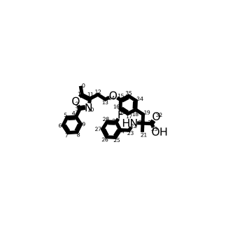 Cc1oc(-c2ccccc2)nc1CCOc1ccc(CC(C)(NCc2ccccc2F)C(=O)O)cc1